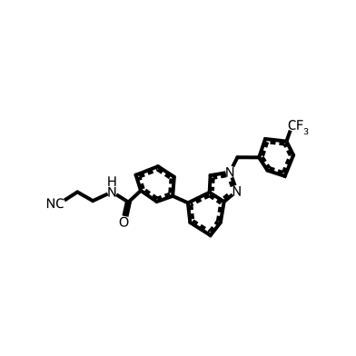 N#CCCNC(=O)c1cccc(-c2cccc3nn(Cc4cccc(C(F)(F)F)c4)cc23)c1